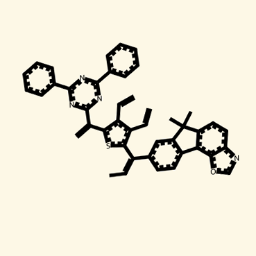 C=Cc1c(C(=C)c2nc(-c3ccccc3)nc(-c3ccccc3)n2)sc(/C(=C\C)c2ccc3c(c2)C(C)(C)c2ccc4ncoc4c2-3)c1C=C